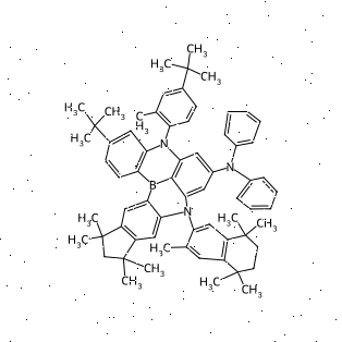 Cc1cc(C(C)(C)C)ccc1N1c2cc(C(C)(C)C)ccc2B2c3cc4c(cc3N(c3cc5c(cc3C)C(C)(C)CCC5(C)C)c3cc(N(c5ccccc5)c5ccccc5)cc1c32)C(C)(C)CC4(C)C